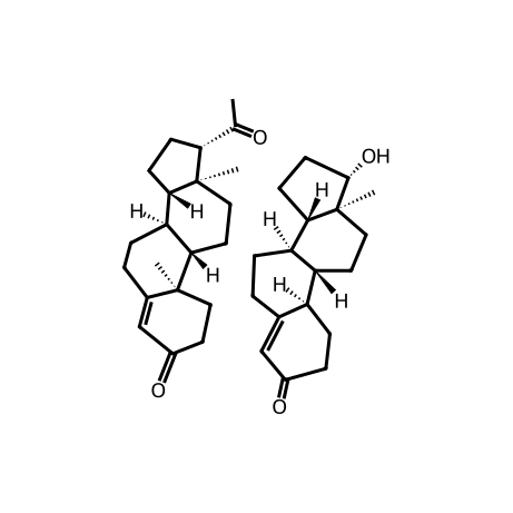 CC(=O)[C@H]1CC[C@H]2[C@@H]3CCC4=CC(=O)CC[C@]4(C)[C@H]3CC[C@]12C.C[C@]12CC[C@H]3[C@@H](CCC4=CC(=O)CC[C@@H]43)[C@@H]1CC[C@@H]2O